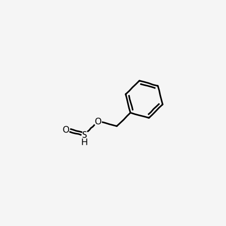 O=[SH]OCc1ccccc1